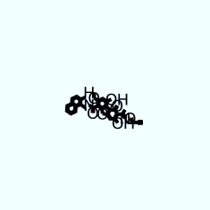 C#CCO/N=C(\C)C1=C(O)C=C2Oc3c(C(=O)NCc4c(C)ccc5ccccc45)c(OC)cc(O)c3[C@]2(C)C1=O